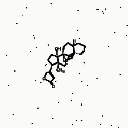 C[C@]12CC[C@@H]3[C@@]45CCCC[C@H]4CC[C@@]3(OC5)[C@@]1(O)CC[C@@H]2C1=CC(=O)OC1